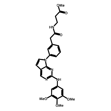 COC(=O)CCNC(=O)Cc1cccc(-n2ccc3cnc(Nc4cc(OC)c(OC)c(OC)c4)nc32)c1